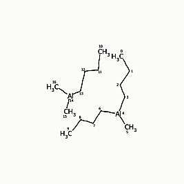 CCC[CH2][Al]([CH3])[CH2]CCC.CCC[CH2][Al]([CH3])[CH3]